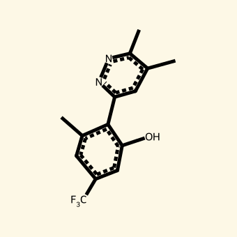 Cc1cc(-c2c(C)cc(C(F)(F)F)cc2O)nnc1C